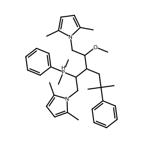 COC(Cn1c(C)ccc1C)C(CC(C)(C)c1ccccc1)C(Cn1c(C)ccc1C)[PH](C)(C)c1ccccc1